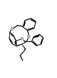 CCCC1COc2ccccc2COc2ccc1c(OCc1ccccc1)c2